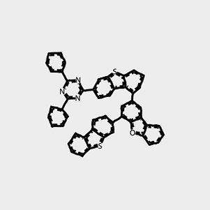 c1ccc(-c2nc(-c3ccccc3)nc(-c3ccc4c(c3)sc3cccc(-c5cc(-c6ccc7c(c6)sc6ccccc67)c6oc7ccccc7c6c5)c34)n2)cc1